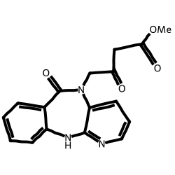 COC(=O)CC(=O)CN1C(=O)c2ccccc2Nc2ncccc21